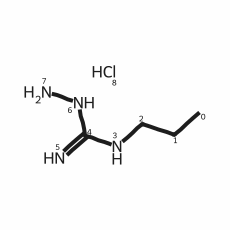 CCCNC(=N)NN.Cl